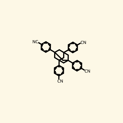 N#Cc1ccc(C23CC4(c5ccc(C#N)cc5)CC(c5ccc(C#N)cc5)(C2)CC(c2ccc(C#N)cc2)(C3)C4)cc1